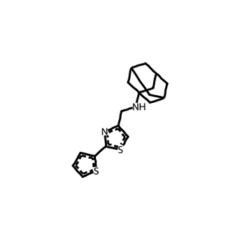 c1csc(-c2nc(CNC34CC5CC(CC(C5)C3)C4)cs2)c1